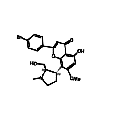 COc1cc(O)c2c(=O)cc(-c3ccc(Br)cc3)oc2c1[C@@H]1CCN(C)[C@H]1CO